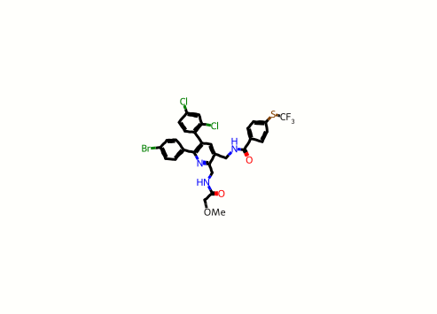 COCC(=O)NCc1nc(-c2ccc(Br)cc2)c(-c2ccc(Cl)cc2Cl)cc1CNC(=O)c1ccc(SC(F)(F)F)cc1